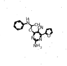 CC(Nc1ccccc1)Oc1nc(N)nc(-c2ccco2)c1C#N